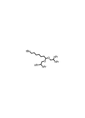 CCCC(CCC)COC(CCCCCCC(C)(C)C)OCC(CCC)CCC